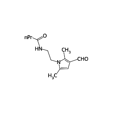 CCCC(=O)NCCn1c(C)cc(C=O)c1C